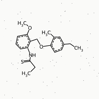 CCC(=S)Nc1cccc(OC)c1COc1ccc(CC)cc1C